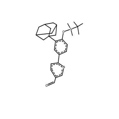 CC(C)(C)[Si](C)(C)Oc1ccc(-c2ccc(C=O)cn2)cc1C12CC3CC(CC(C3)C1)C2